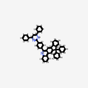 c1ccc(-c2cc(-c3ccccc3)nc(-c3ccc(-c4nc5ccccc5c5cc6c(cc45)-c4ccccc4C6(c4ccccc4)c4ccccc4)cc3)n2)cc1